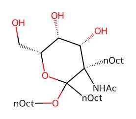 CCCCCCCCOC1(CCCCCCCC)O[C@H](CO)[C@H](O)[C@H](O)[C@@]1(CCCCCCCC)NC(C)=O